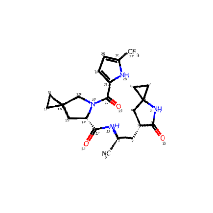 N#C[C@H](C[C@@H]1CC2(CC2)NC1=O)NC(=O)[C@@H]1CC2(CC2)CN1C(=O)c1ccc(C(F)(F)F)[nH]1